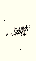 CCC(=O)O[C@H](C)OC(O)SC[C@H](NC(C)=O)C(=O)O